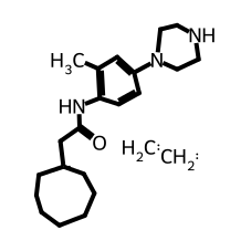 Cc1cc(N2CCNCC2)ccc1NC(=O)C[C]1CCCCCCC1.[CH2].[CH2]